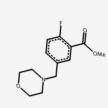 COC(=O)c1cc(CN2CCOCC2)ccc1F